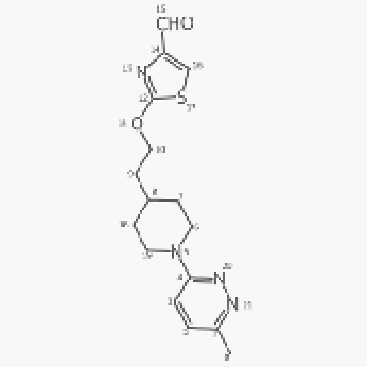 Cc1ccc(N2CCC(CCOc3nc(C=O)cs3)CC2)nn1